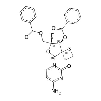 Nc1ccn([C@@H]2O[C@](F)(COC(=O)c3ccccc3)[C@@H](OC(=O)c3ccccc3)[C@]23CCS3)c(=O)n1